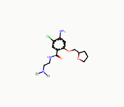 CCN(CC)CCNC(=O)c1cc(Cl)c(N)cc1OCC1CCCO1